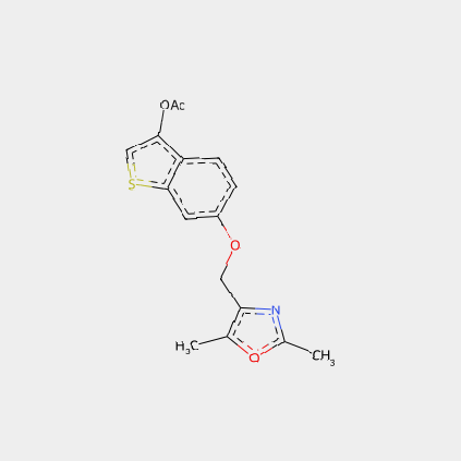 CC(=O)Oc1csc2cc(OCc3nc(C)oc3C)ccc12